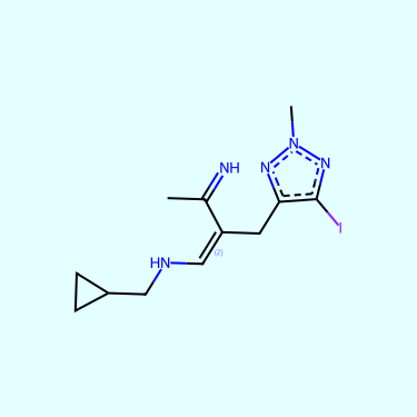 CC(=N)/C(=C\NCC1CC1)Cc1nn(C)nc1I